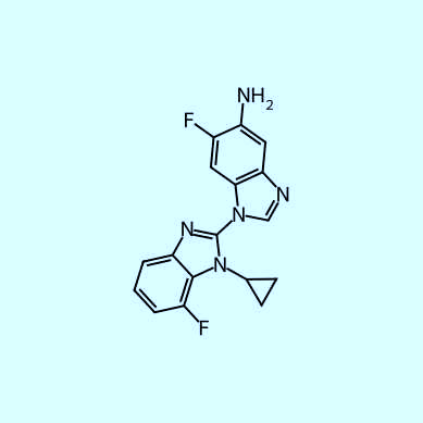 Nc1cc2ncn(-c3nc4cccc(F)c4n3C3CC3)c2cc1F